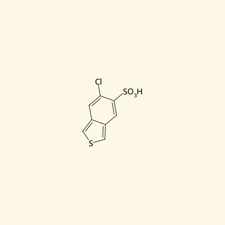 O=S(=O)(O)c1cc2cscc2cc1Cl